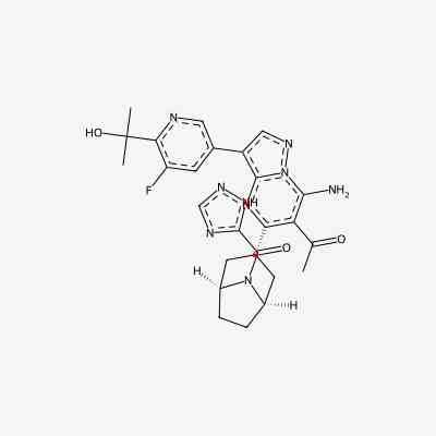 CC(=O)c1c([C@@H]2C[C@H]3CC[C@@H](C2)N3C(=O)c2ncn[nH]2)nc2c(-c3cnc(C(C)(C)O)c(F)c3)cnn2c1N